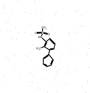 Cc1c(NS(C)(=O)=O)cccc1-c1ccccc1